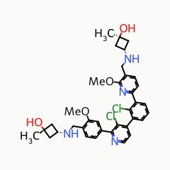 COc1cc(-c2nccc(-c3cccc(-c4ccc(CN[C@H]5C[C@](C)(O)C5)c(OC)n4)c3Cl)c2Cl)ccc1CN[C@H]1C[C@@](C)(O)C1